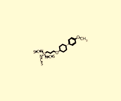 COc1ccc([C@H]2CC[C@H](OCCC[Si](N=C=S)(N=C=S)N=C=S)CC2)cc1